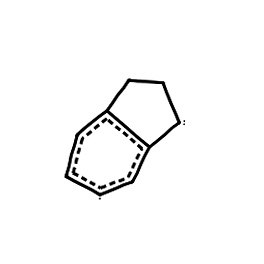 [C]1CCc2cc[c]cc21